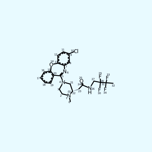 CN1CCN(C2=Nc3cc(Cl)ccc3Oc3ccccc32)C[C@@H]1CC(=O)NCC(F)(F)C(C)(F)F